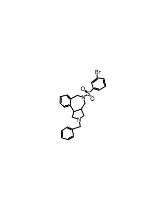 O=S(=O)(c1cccc(Br)c1)N1Cc2ccccc2C2CN(Cc3ccccc3)CC2C1